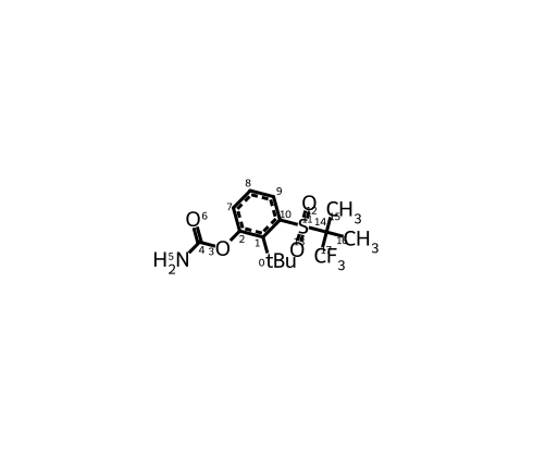 CC(C)(C)c1c(OC(N)=O)cccc1S(=O)(=O)C(C)(C)C(F)(F)F